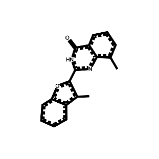 Cc1c(-c2nc3c(C)cccc3c(=O)[nH]2)oc2ccccc12